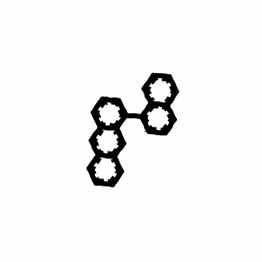 [c]1ccc2ccccc2c1-c1cccc2cc3ccccc3cc12